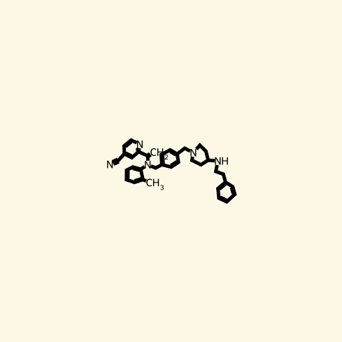 C=C(c1cc(C#N)ccn1)N(Cc1ccc(CN2CCC(NCCc3ccccc3)CC2)cc1)c1ccccc1C